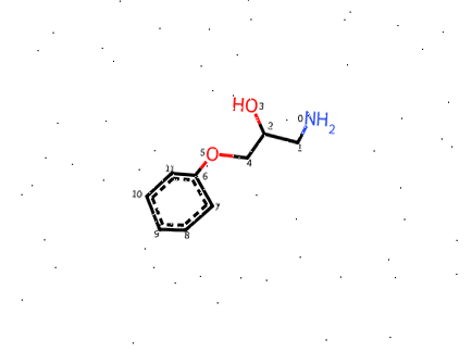 NCC(O)COc1cc[c]cc1